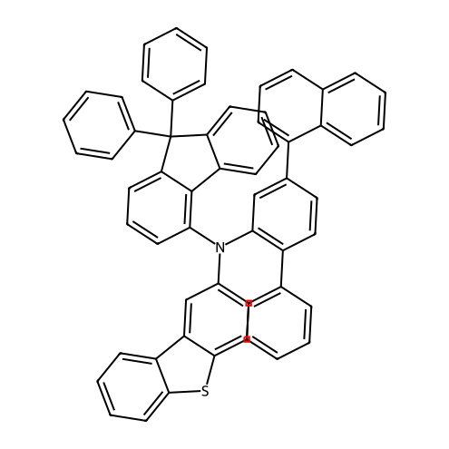 c1ccc(-c2ccc(-c3cccc4ccccc34)cc2N(c2ccc3sc4ccccc4c3c2)c2cccc3c2-c2ccccc2C3(c2ccccc2)c2ccccc2)cc1